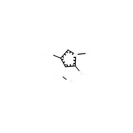 CCOC(=O)c1cc(N)n(C(C)(C)C)c1.O=S(=O)(O)O